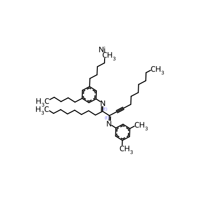 CCCCCCCC#CC(=N\c1cc(C)cc(C)c1)/C(CCCCCCCC)=N/c1cc(CCCCC)cc(CCCCC)c1.[Ni]